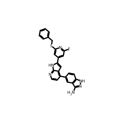 Nc1n[nH]c2ccc(-c3ccnc4[nH]c(-c5cc(F)nc(SCc6ccccc6)c5)cc34)cc12